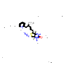 O=C1N[C@H]2[C@H](CS[C@H]2CCCC(Cc2ccccn2)C(=O)O)N1.[N-]=[N+]=[N-]